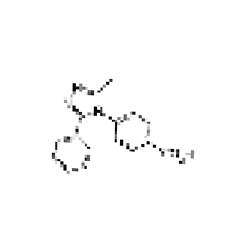 Cc1nnc(-c2ccccc2)n1-c1ccc(C(=O)O)cc1